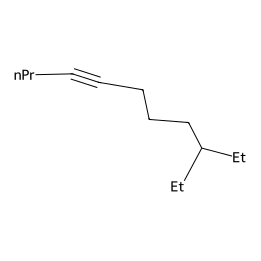 CCCC#CCCCC(CC)CC